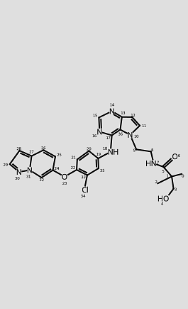 CC(C)(CO)C(=O)NCCn1ccc2ncnc(Nc3ccc(Oc4ccc5ccnn5c4)c(Cl)c3)c21